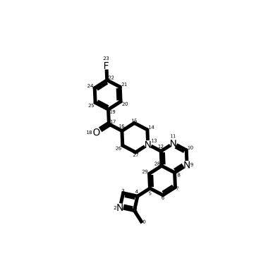 CC1=NC=C1c1ccc2ncnc(N3CCC(C(=O)c4ccc(F)cc4)CC3)c2c1